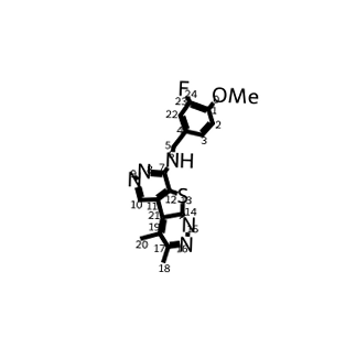 COc1ccc(CNc2nncc3c2sc2nnc(C)c(C)c23)cc1F